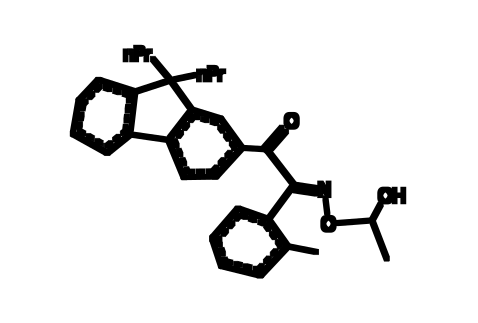 CCCC1(CCC)c2ccccc2-c2ccc(C(=O)/C(=N/OC(C)O)c3ccccc3C)cc21